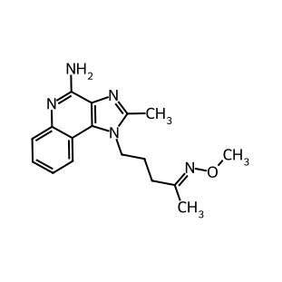 CON=C(C)CCCn1c(C)nc2c(N)nc3ccccc3c21